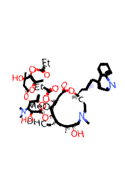 CCC(=O)O[C@@H]1CC(=O)O[C@@H](C/C=C/c2ccnc3ccccc23)CCCN(C)C[C@H](O)[C@H](C)C[C@H](CC=O)[C@H](O[C@@H]2OC(C)[C@@H](O[C@H]3CC(C)(O)[C@@H](OC(=O)CC)C(C)O3)C(N(C)C)C2O)[C@H]1OC